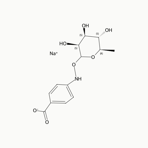 C[C@H]1OC(ONc2ccc(C(=O)[O-])cc2)[C@@H](O)[C@@H](O)[C@@H]1O.[Na+]